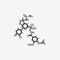 COc1cc(C(=O)NCC(O)(c2cc3c(c(-c4ccc(F)c(Cl)c4)n2)OCC3(C)N[S+]([O-])C(C)(C)C)C(F)(F)F)ccc1OC1CC1